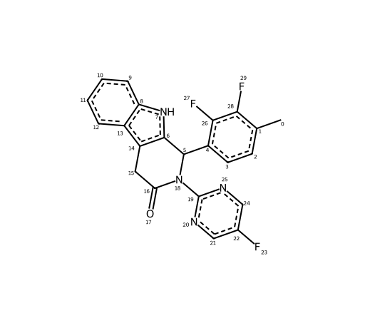 Cc1ccc(C2c3[nH]c4ccccc4c3CC(=O)N2c2ncc(F)cn2)c(F)c1F